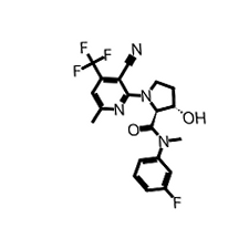 Cc1cc(C(F)(F)F)c(C#N)c(N2CC[C@H](O)[C@H]2C(=O)N(C)c2cccc(F)c2)n1